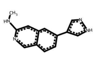 CNc1cc2cc(-c3cn[nH]c3)ccc2cn1